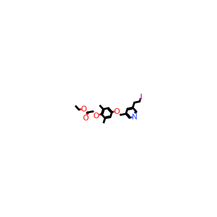 CCOC(=O)COc1c(C)cc(OCc2cncc(CCI)c2)cc1C